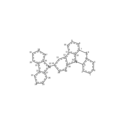 c1ccc2c(c1)Sc1cccc3c4cc(-n5c6ccccc6c6ccccc65)ccc4n-2c13